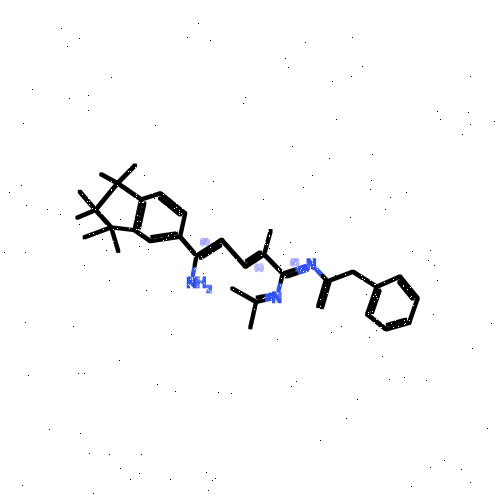 C=C(Cc1ccccc1)/N=C(N=C(C)C)/C(C)=C/C=C(\N)c1ccc2c(c1)C(C)(C)C(C)(C)C2(C)C